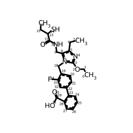 CCOc1nc(CC)c(CNC(=O)C(S)CC)n1Cc1ccc(-c2ccccc2C(=O)O)cc1F